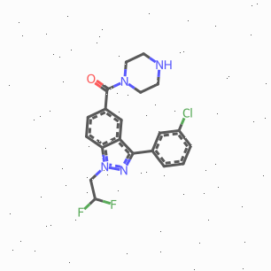 O=C(c1ccc2c(c1)c(-c1cccc(Cl)c1)nn2CC(F)F)N1CCNCC1